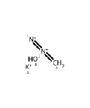 C=[N+]=[N-].[K+].[OH-]